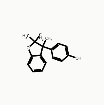 CC1(C)Oc2ccccc2C1(C)c1ccc(O)cc1